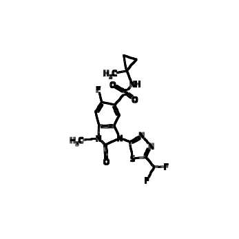 Cn1c(=O)n(-c2nnc(C(F)F)s2)c2cc(S(=O)(=O)NC3(C)CC3)c(F)cc21